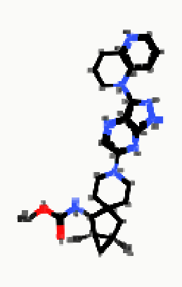 CC(C)(C)OC(=O)N[C@H]1[C@@H]2C[C@@H]2CC12CCN(c1cnc3c(N4CCCc5ncccc54)n[nH]c3n1)CC2